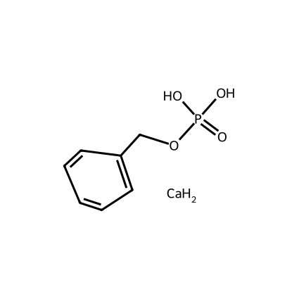 O=P(O)(O)OCc1ccccc1.[CaH2]